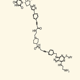 CCCSc1nc(NCCN)c2nnn(Cc3ccc(C#CCNC(=O)C4CCN(CCNC(=O)C#Cc5ccc(-c6cn(C7C[C@H](n8cc(C)c(=O)[nH]c8=O)O[C@@H]7CO)nn6)cc5)CC4)cc3)c2n1